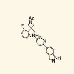 CC(=O)N1CC(CNc2ccc(-c3ccc4[nH]ncc4c3)nn2)(c2ncccc2F)C1